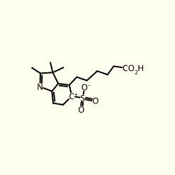 CC1=NC2=CC[C+](S(=O)(=O)[O-])C(CCCCCC(=O)O)=C2C1(C)C